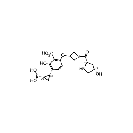 O=C(O)c1c(OC2CN(C(=O)[C@@H]3C[C@H](O)CN3)C2)ccc([C@@H]2C[C@@H]2B(O)O)c1O